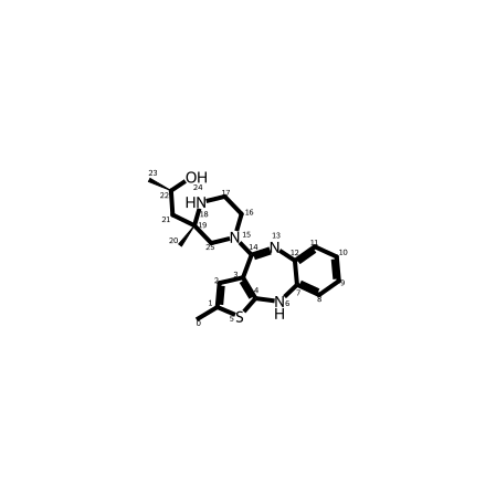 Cc1cc2c(s1)Nc1ccccc1N=C2N1CCN[C@@](C)(C[C@@H](C)O)C1